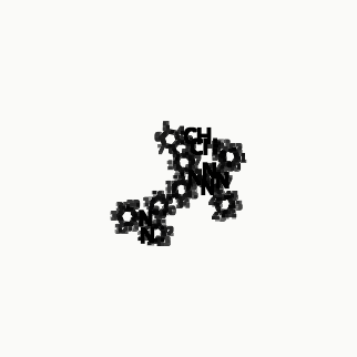 CC1(C)c2ccccc2-c2cc3c4cc(-c5ccc6c(c5)c5cccnc5n6-c5ccccc5)ccc4n(-c4nc(-c5ccccc5)nc(-c5ccccc5)n4)c3cc21